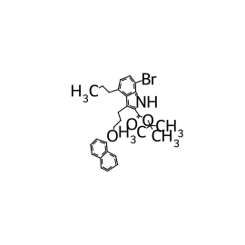 CCCc1ccc(Br)c2[nH]c(C(=O)OC(C)(C)C)c(CCCOc3cccc4ccccc34)c12